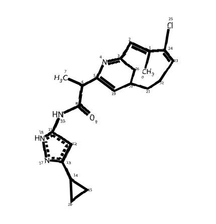 CC1=C\C2=NC(C(C)C(=O)Nc3cc(C4CC4)n[nH]3)=CC(CC/C=C\1Cl)C2